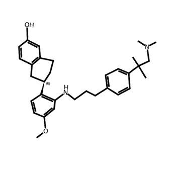 COc1ccc([C@@H]2CCc3cc(O)ccc3C2)c(NCCCc2ccc(C(C)(C)CN(C)C)cc2)c1